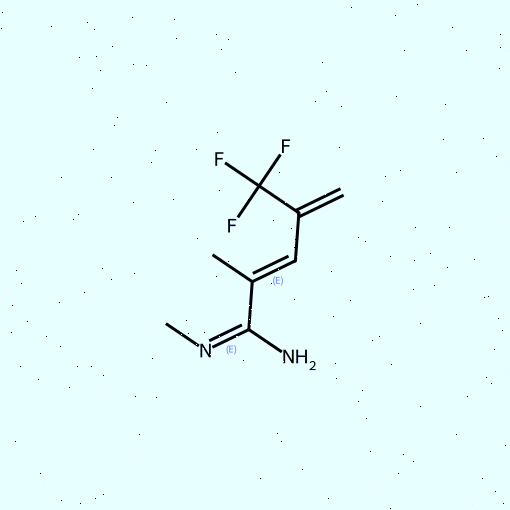 C=C(/C=C(C)/C(N)=N\C)C(F)(F)F